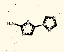 Nc1ncc(-n2cncn2)s1